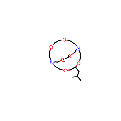 CC(C)CC1COCCN2CCOCCOCCN(CCOCCOCC2)CCO1